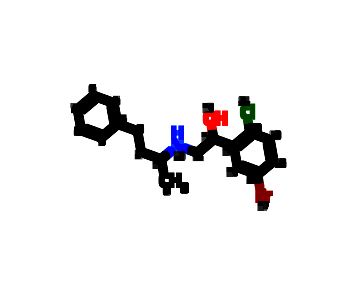 CC(CCc1ccccc1)NCC(O)c1cc(Br)ccc1Cl